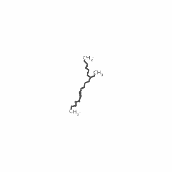 [CH2]CCCCC#CCCCCC(CC)CCCCC[CH2]